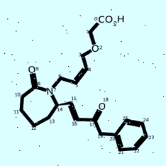 O=C(O)COC/C=C\CN1C(=O)CCCC[C@@H]1/C=C/C(=O)Cc1ccccc1